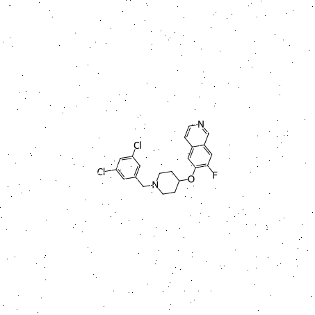 Fc1cc2cnccc2cc1OC1CCN(Cc2cc(Cl)cc(Cl)c2)CC1